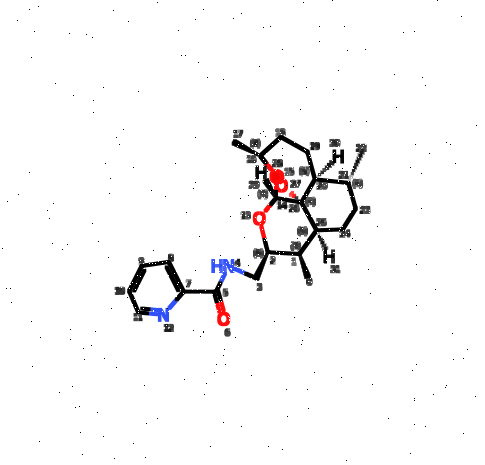 C[C@H]1[C@@H](CNC(=O)c2ccccn2)O[C@@H]2O[C@@]3(C)CC[C@H]4[C@H](C)CC[C@@H]1[C@@]24OO3